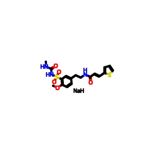 CNC(=O)NS(=O)(=O)c1cc(CCNC(=O)/C=C/c2cccs2)ccc1OC.[NaH]